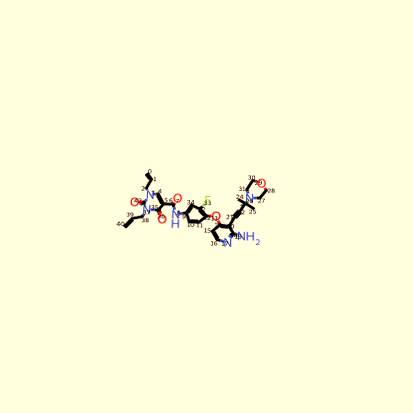 C=CCn1cc(C(=O)Nc2ccc(Oc3ccnc(N)c3C#CC(C)(C)N3CCOCC3)c(F)c2)c(=O)n(CC=C)c1=O